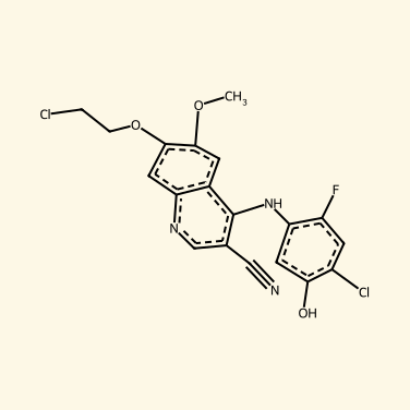 COc1cc2c(Nc3cc(O)c(Cl)cc3F)c(C#N)cnc2cc1OCCCl